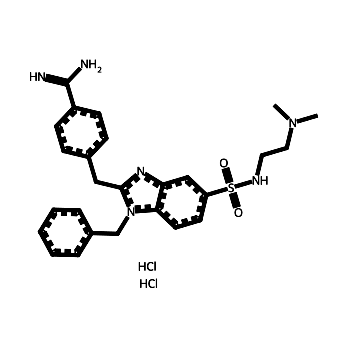 CN(C)CCNS(=O)(=O)c1ccc2c(c1)nc(Cc1ccc(C(=N)N)cc1)n2Cc1ccccc1.Cl.Cl